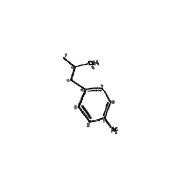 CC(=O)c1ccc(CC(C)O)cc1